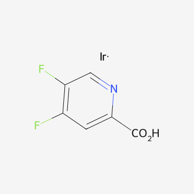 O=C(O)c1cc(F)c(F)cn1.[Ir]